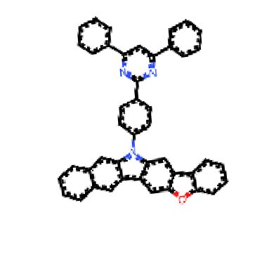 c1ccc(-c2cc(-c3ccccc3)nc(-c3ccc(-n4c5cc6ccccc6cc5c5cc6oc7ccccc7c6cc54)cc3)n2)cc1